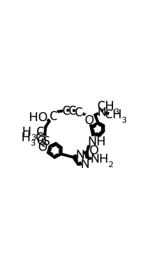 CN(C)Cc1cccc2c1OCCCCCCC(O)CC(C)(C)S(=O)(=O)c1ccc(cc1)-c1cnc(N)c(n1)C(=O)N2